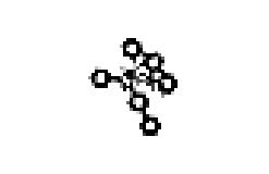 CC1(C)c2ccccc2-c2ccc3c4ccccc4n(-c4nc(-c5ccccc5)nc(-c5ccc(-c6ccccc6)cc5)n4)c3c21